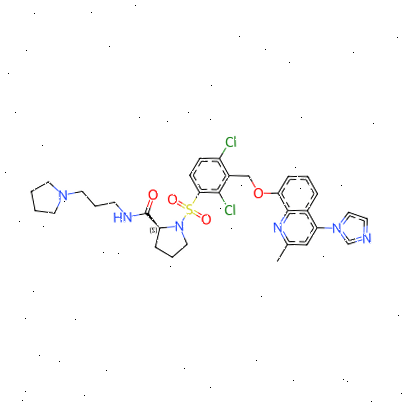 Cc1cc(-n2ccnc2)c2cccc(OCc3c(Cl)ccc(S(=O)(=O)N4CCC[C@H]4C(=O)NCCCN4CCCC4)c3Cl)c2n1